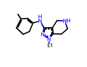 CCn1nc(NC2=CC(C)=CCC2)c2c1CCNC2